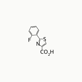 O=C(O)c1csc(-c2ccccc2F)n1